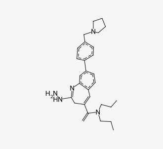 C=C(C1=Cc2ccc(-c3ccc(CN4CCCC4)cc3)cc2N=C(NN)C1)N(CCC)CCC